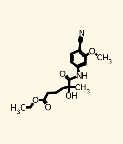 CCOC(=O)CCCC(C)(O)C(=O)Nc1ccc(C#N)c(OC)c1